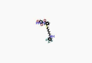 O=C1CCC(N2Cc3c(SCCCCCCCCNc4cc(F)c(F)c(F)c4)cccc3C2=O)C(=O)N1